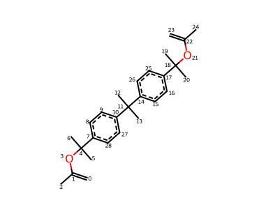 C=C(C)OC(C)(C)c1ccc(C(C)(C)c2ccc(C(C)(C)OC(=C)C)cc2)cc1